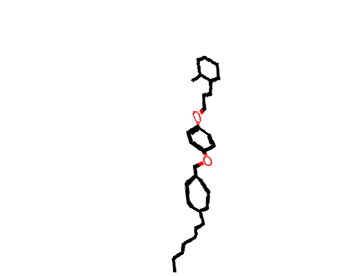 CCCCCCCC1CCC(COc2ccc(OCCCC3CCCCC3C)cc2)CC1